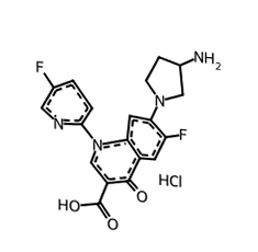 Cl.NC1CCN(c2cc3c(cc2F)c(=O)c(C(=O)O)cn3-c2ccc(F)cn2)C1